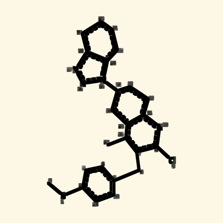 CSc1ccc(Cc2c(Cl)nc3ccc(-n4nnc5ccccc54)cc3c2C)cc1